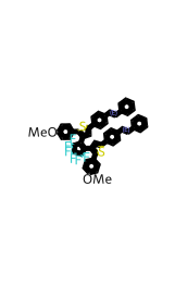 COc1ccc(-c2sc(-c3ccc(/C=C/c4ccccc4)cc3)cc2C2=C(c3cc(-c4ccc(/C=C/c5ccccc5)cc4)sc3-c3ccc(OC)cc3)C(F)(F)C(F)(F)C2(F)F)cc1